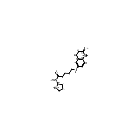 CN(C(=O)CCCCOc1ccc2c(c1)CCC(=O)N2)C1CCCN1